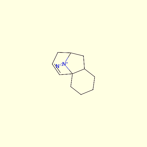 [N-]=[N+]1C2CC=CC13CCCCC3C2